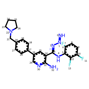 N=N/N=C(\Nc1c(F)ccc(F)c1F)c1cc(-c2ccc(CN3CCCC3)cc2)cnc1N